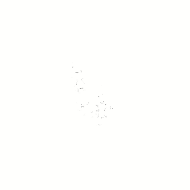 CCCCOc1nc(N)c2nc(OC)n(CC3CCN(CCOc4cccc(CC(=O)OC)c4)CC3)c2n1